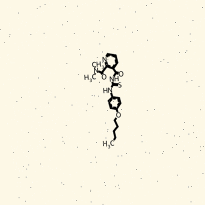 CCCCCOc1ccc(NC(=S)NC(=O)c2cccnc2C(=O)N(C)C)cc1